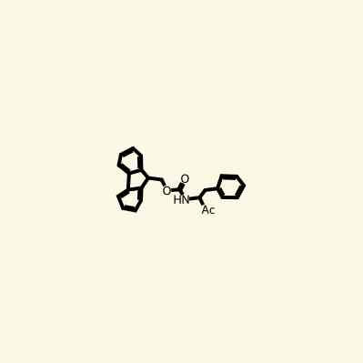 CC(=O)C(Cc1ccccc1)NC(=O)OCC1c2ccccc2-c2ccccc21